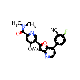 COc1cc(C(=O)N(C)C)ncc1-c1cc2nccc(-c3ccc(F)c(C#N)c3)c2o1